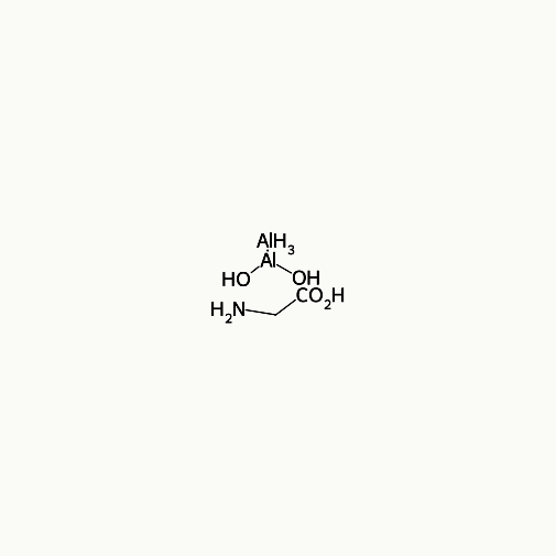 NCC(=O)O.[AlH3].[OH][Al][OH]